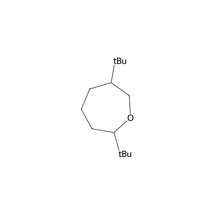 CC(C)(C)C1CCCC(C(C)(C)C)OC1